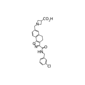 O=C(NCc1cccc(Cl)c1)c1noc2c1CCc1cc(CN3CC(C(=O)O)C3)ccc1-2